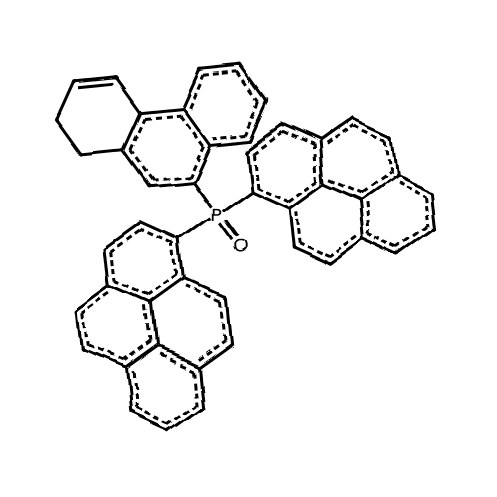 O=P(c1cc2c(c3ccccc13)C=CCC2)(c1ccc2ccc3cccc4ccc1c2c34)c1ccc2ccc3cccc4ccc1c2c34